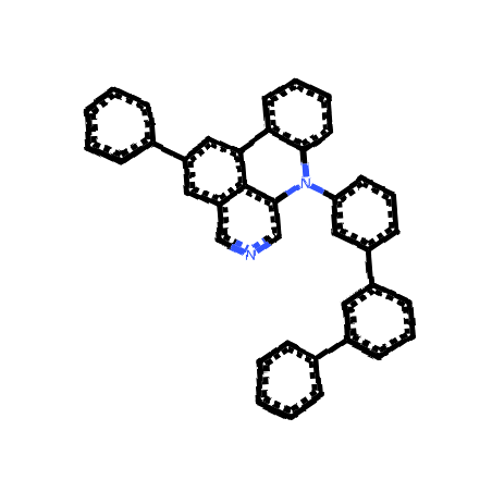 c1ccc(-c2cccc(-c3cccc(N4c5ccccc5-c5cc(-c6ccccc6)cc6cncc4c56)c3)c2)cc1